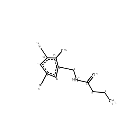 CCCC(=O)NCc1cc(F)cc(F)c1F